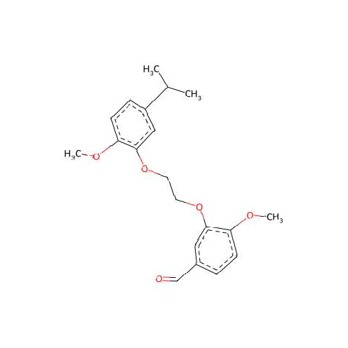 COc1ccc(C=O)cc1OCCOc1cc(C(C)C)ccc1OC